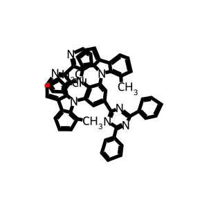 Cc1cccc2c3cccc(C)c3n(-c3cc(-c4nc(-c5ccccc5)nc(-c5ccccc5)n4)cc(-n4c5c(C)cccc5c5cccc(C)c54)c3-n3c4cccnc4c4ncccc43)c12